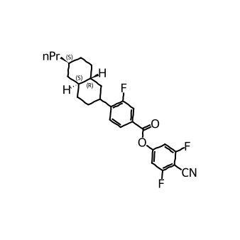 CCC[C@H]1CC[C@@H]2CC(c3ccc(C(=O)Oc4cc(F)c(C#N)c(F)c4)cc3F)CC[C@H]2C1